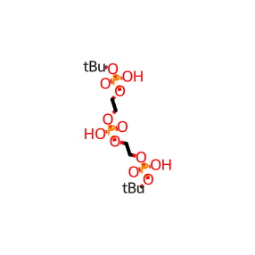 CC(C)(C)OP(=O)(O)OCCOP(=O)(O)OCCOP(=O)(O)OC(C)(C)C